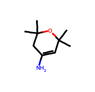 CC1(C)C=C(N)CC(C)(C)O1